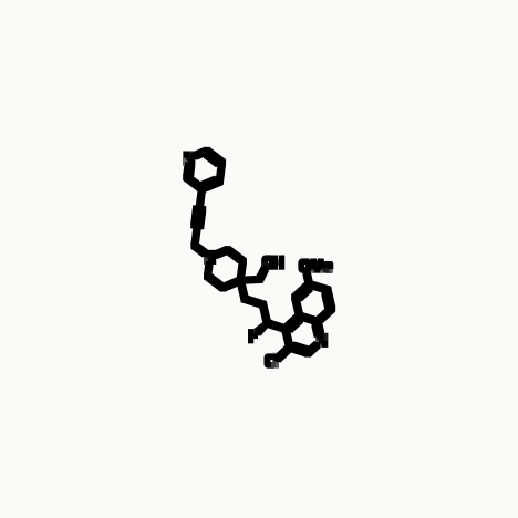 COc1ccc2ncc(Cl)c([C@@H](F)CCC3(CO)CCN(CC#Cc4cccnc4)CC3)c2c1